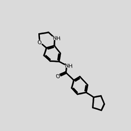 O=C(Nc1ccc2c(c1)NCCO2)c1ccc(C2CCCC2)cc1